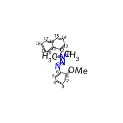 COc1ccccc1N=N[N+](C)(C)c1cccc2ccccc12